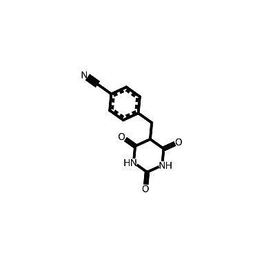 N#Cc1ccc(CC2C(=O)NC(=O)NC2=O)cc1